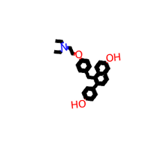 CCN(CC)CCOc1ccc(Cc2c(-c3ccc(O)cc3)ccc3cc(O)ccc23)cc1